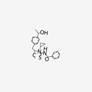 CCC(Cc1ccc(C(C)O)cc1)N(C(=S)NC(=O)c1ccccc1)C1CC1